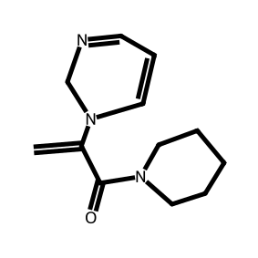 C=C(C(=O)N1CCCCC1)N1C=CC=NC1